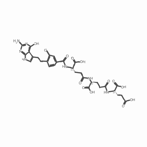 Nc1nc(O)c2c(CCc3ccc(C(=O)N[C@@H](CCC(=O)N[C@@H](CCC(=O)N[C@@H](CCC(=O)O)C(=O)O)C(=O)O)C(=O)O)cc3Cl)c[nH]c2n1